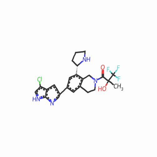 CC(O)(C(=O)N1CCc2cc(-c3cnc4[nH]cc(Cl)c4c3)cc([C@@H]3CCCN3)c2C1)C(F)(F)F